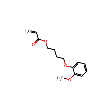 C=CC(=O)OCCCCOc1ccccc1OC